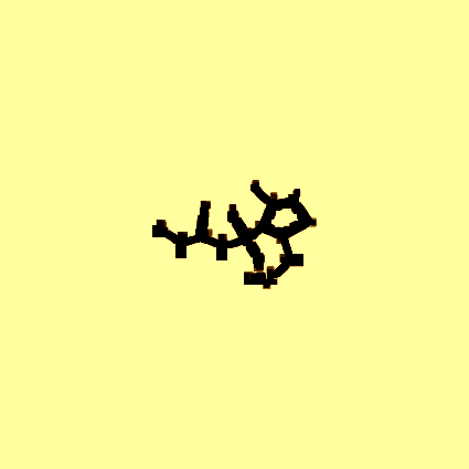 CCOC(=O)Nc1cnn(C)c1S(=O)(=O)NC(=S)NC(C)C